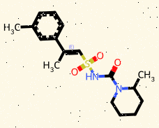 C/C(=C\S(=O)(=O)NC(=O)N1CCCCC1C)c1cccc(C)c1